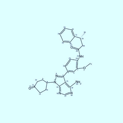 COc1cc(-c2nn(C3CCC(=O)CC3)c3ncnc(N)c23)ccc1NC(=O)C[C@@H](C)c1ccccc1